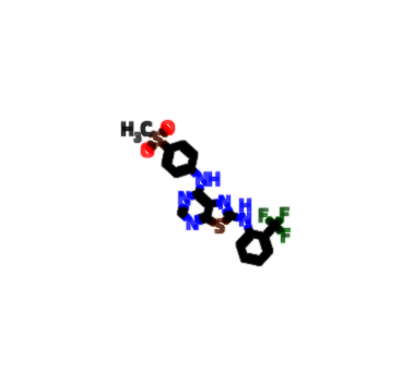 CS(=O)(=O)c1ccc(Nc2ncnc3sc(Nc4ccccc4C(F)(F)F)nc23)cc1